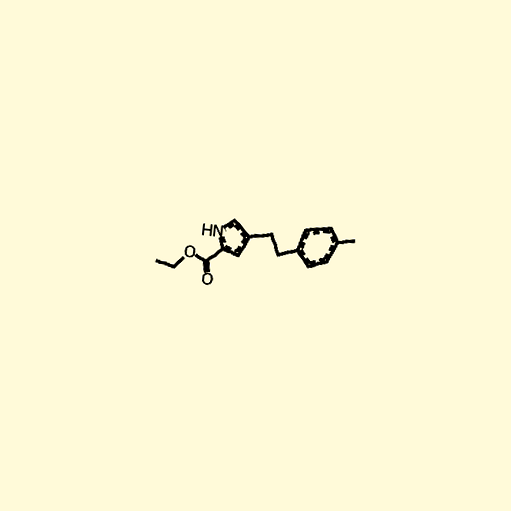 CCOC(=O)c1cc(CCc2ccc(C)cc2)c[nH]1